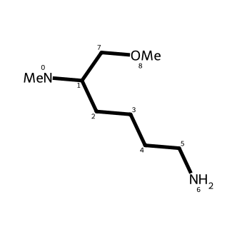 CNC(CCCCN)COC